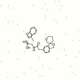 O=C(Cc1ccc2c(c1)C1(CCCOC1)OC2)N[C@@H](Cc1coc2ccccc12)B(O)O